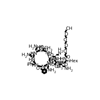 C#CCOCCOCCOCCOCCC(=O)N[C@@H](CCCCCC)C(=O)N[C@@H](CCN)C(=O)N[C@H](C(=O)N[C@@H](CCN)C(=O)N[C@H]1CCNC(=O)[C@H]([C@@H](C)O)NC(=O)[C@H](CCN)NC(=O)[C@H](CCN)NC(=O)[C@H](CC(C)C)NC(=O)[C@@H](Cc2ccccc2)NC(=O)[C@H](CCN)NC1=O)[C@@H](C)O